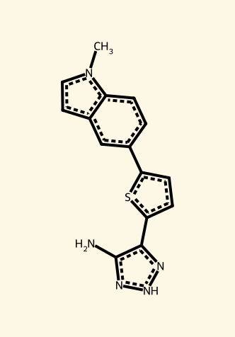 Cn1ccc2cc(-c3ccc(-c4n[nH]nc4N)s3)ccc21